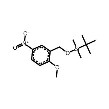 COc1ccc([N+](=O)[O-])cc1CO[Si](C)(C)C(C)(C)C